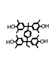 CCC(c1ccc(C(C)(c2cc(C)c(O)c(C)c2)c2cc(C)c(O)c(C)c2)cc1)(c1cc(C)c(O)c(C)c1)c1cc(C)c(O)c(C)c1